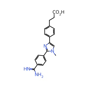 Cn1cc(-c2ccc(CCC(=O)O)cc2)nc1-c1ccc(C(=N)N)cc1